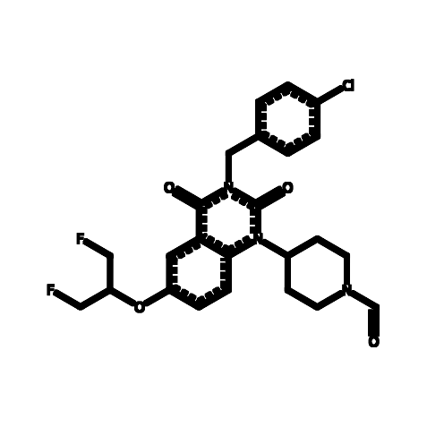 O=CN1CCC(n2c(=O)n(Cc3ccc(Cl)cc3)c(=O)c3cc(OC(CF)CF)ccc32)CC1